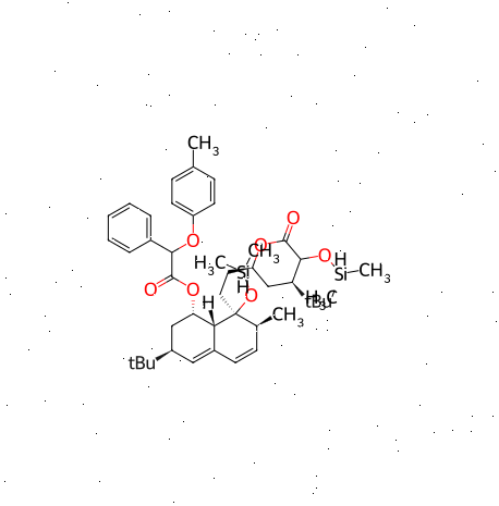 Cc1ccc(OC(C(=O)O[C@H]2C[C@H](C(C)(C)C)C=C3C=C[C@H](C)[C@](CC[C@@H]4C[C@H](C(C)(C)C)C(O[SiH](C)C)C(=O)O4)(O[SiH](C)C)[C@H]32)c2ccccc2)cc1